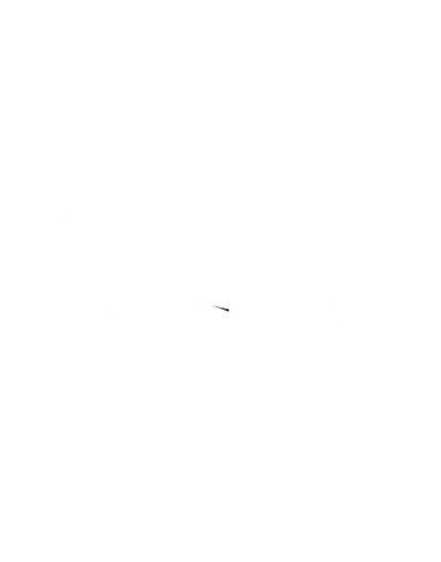 CCCC1OC1[C@H]1CC[C@H](c2ccc(OC(C)=O)cc2)CC1